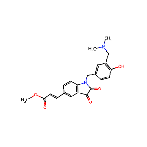 COC(=O)/C=C/c1ccc2c(c1)C(=O)C(=O)N2Cc1ccc(O)c(CN(C)C)c1